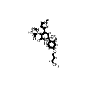 Cn1ccc(C2=C(n3nn[nH]c3=O)C(=O)N[C@@](c3ccc(OCCCC(F)(F)F)cc3F)(C(F)(F)F)C2)n1